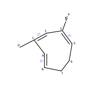 CC1=C/C(F)=C\CC\C=C\1